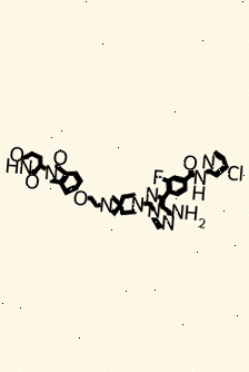 Nc1nccn2c(N3CCC4(CC3)CN(CCOc3ccc5c(c3)CN(C3CCC(=O)NC3=O)C5=O)C4)nc(-c3ccc(C(=O)Nc4cc(Cl)ccn4)cc3F)c12